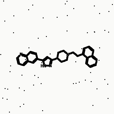 c1cnc2ccc(-c3cc(C4CCN(CCc5cccc6ccccc56)CC4)n[nH]3)cc2c1